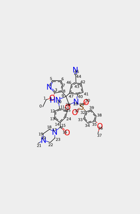 CCOc1ncccc1C1(Nc2ccc(C(=O)N3CCN(C)CC3)cc2)C(=O)N(S(=O)(=O)c2ccc(OC)cc2)c2ccc(C#N)cc21